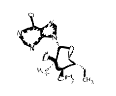 CC[C@H]1O[C@@H](n2cnc3c(Cl)ncnc32)[C@](C)(Cl)[C@@H]1C